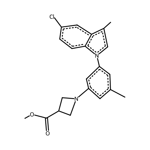 COC(=O)C1CN(c2cc(C)cc(-n3cc(C)c4cc(Cl)ccc43)c2)C1